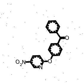 O=C(c1ccccc1)c1ccc(Oc2ccc([N+](=O)[O-])cn2)cc1